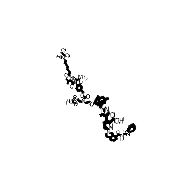 Cc1c(-c2ccc(N3CCc4cccc(C(=O)Nc5nc6ccccc6s5)c4C3)nc2C(=O)O)cnn1CC12CC3(C)CC(C)(C1)CC(OCCN(CCS(=O)(=O)O)C(=O)OCc1ccc(N(C(=O)[C@@H](NC(=O)CCCCCNC(=O)CCl)C(C)C)[C@@H](C)C(N)=O)cc1)(C3)C2